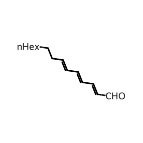 CCCCCCCCC=CC=CC=CC=O